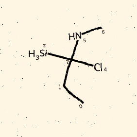 CCC([SiH3])(Cl)NC